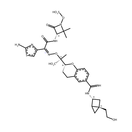 CC1(C)[C@H](NC(=O)/C(=N\O[C@](C)(C(=O)O)[C@H]2CCc3cc(C(=N)N[C@@H]4C[C@]5(CCO)CC45)ccc3O2)c2csc(N)n2)C(=O)N1OS(=O)(=O)O